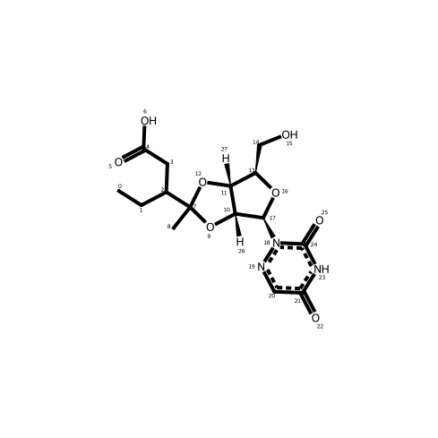 CCC(CC(=O)O)C1(C)O[C@@H]2[C@H](O1)[C@@H](CO)O[C@H]2n1ncc(=O)[nH]c1=O